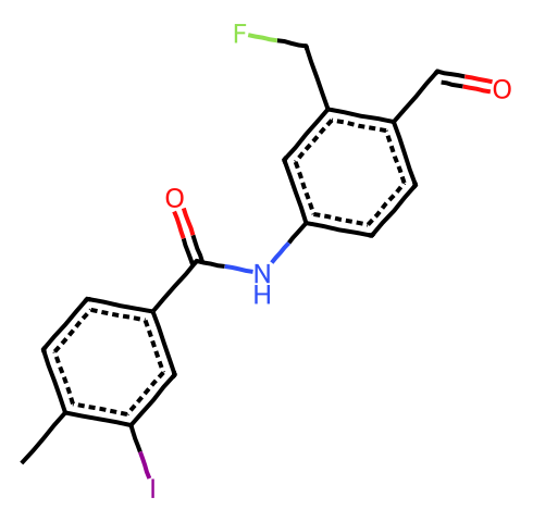 Cc1ccc(C(=O)Nc2ccc(C=O)c(CF)c2)cc1I